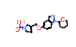 O=C(O)N1CCC(COc2ccc3c(cnn3C3CCCCO3)c2)C1